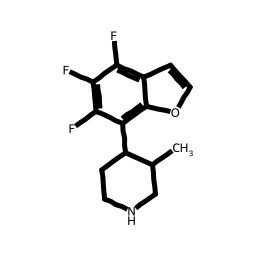 CC1CNCCC1c1c(F)c(F)c(F)c2ccoc12